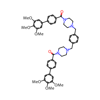 COc1cc(-c2ccc(C(=O)N3CCN(Cc4ccc(CN5CCN(C(=O)c6ccc(-c7cc(OC)c(OC)c(OC)c7)cc6)CC5)cc4)CC3)cc2)cc(OC)c1OC